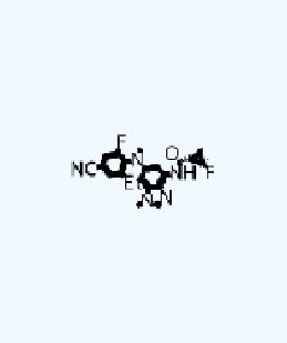 CCc1cc(C#N)cc(F)c1N(C)c1cc(NC(=O)[C@@H]2C[C@@H]2F)c2ncn(C)c2c1